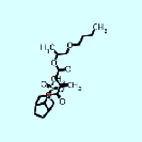 C=C(CC(=O)OC(C)COCCCC)C(=O)OC1C2CCC1CN(S(C)(=O)=O)C2